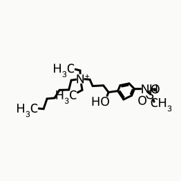 CCCCCCC[N+](CC)(CC)CCCC(O)c1ccc(NS(C)(=O)=O)cc1